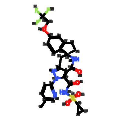 Cc1ccc(-n2nc3c(c2C(=O)NS(=O)(=O)C2CC2)C(=O)N[C@@]2(CCc4cc(OCC(F)(F)F)ccc42)C3)nc1